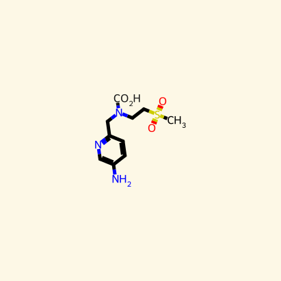 CS(=O)(=O)CCN(Cc1ccc(N)cn1)C(=O)O